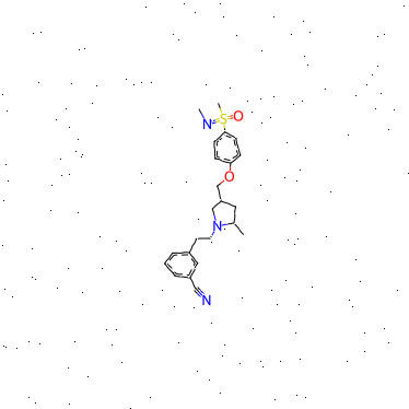 CN=S(C)(=O)c1ccc(OCC2CC(C)N(CCc3cccc(C#N)c3)C2)cc1